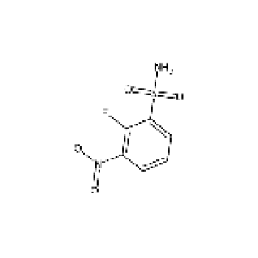 NS(=O)(=O)c1cccc([N+](=O)[O-])c1F